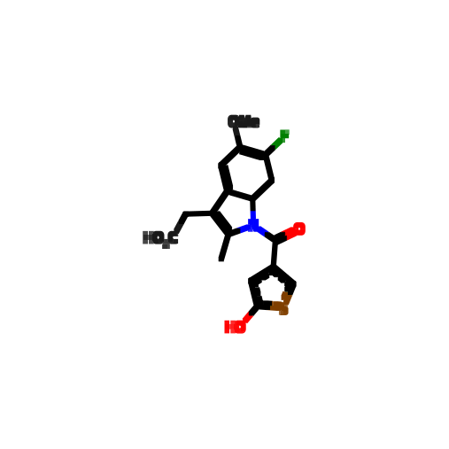 COC1=C(F)CC2C(=C1)C(CC(=O)O)=C(C)N2C(=O)c1csc(O)c1